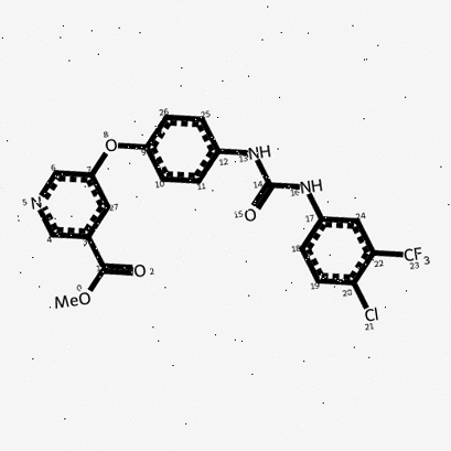 COC(=O)c1cncc(Oc2ccc(NC(=O)Nc3ccc(Cl)c(C(F)(F)F)c3)cc2)c1